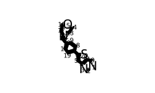 [c]1ncnc2cc(-c3ccc(CN4CCOCC4)cc3)sc12